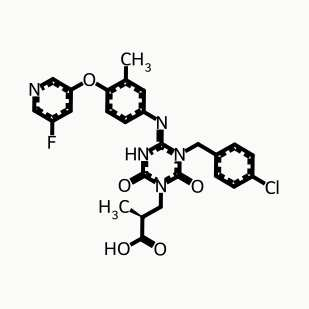 Cc1cc(/N=c2\[nH]c(=O)n(C[C@H](C)C(=O)O)c(=O)n2Cc2ccc(Cl)cc2)ccc1Oc1cncc(F)c1